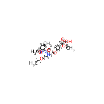 CCCOCCCN(CCOc1ccc(CC(OCC)C(=O)O)cc1)C(=O)Nc1cc(C)ccc1OC